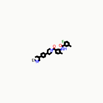 C/C=C(\C=N/CC)c1ccc(C2CCN(C(=O)c3ccc(C)c(NC(=O)c4cc(C)ccc4F)c3)CC2)cc1